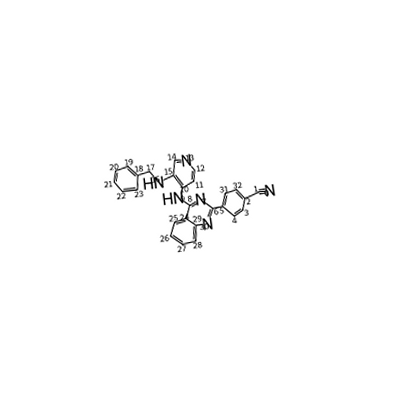 N#Cc1ccc(-c2nc(Nc3ccncc3NCc3ccccc3)c3ccccc3n2)cc1